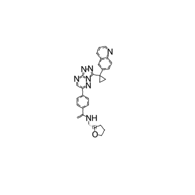 C=C(NC[C@@H]1CCCO1)c1ccc(-c2cnc3nnc(C4(c5ccc6ncccc6c5)CC4)n3n2)cc1